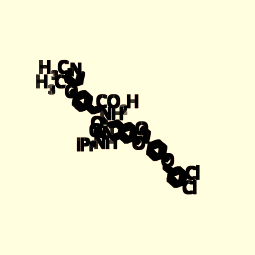 Cc1nccc(Oc2ccc(CC(NC(=O)[C@@H]3Cc4cc5c(cc4CN3C(=O)NC(C)C)O[C@@H](c3ccc(OCc4ccc(Cl)c(Cl)c4)cc3)CO5)C(=O)O)cc2)c1C